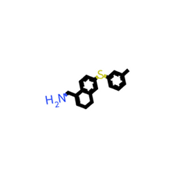 Cc1cccc(Sc2ccc3c(c2)CCC=C3CN)c1